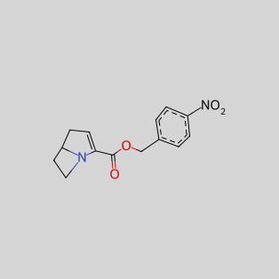 O=C(OCc1ccc([N+](=O)[O-])cc1)C1=CCC2CCN12